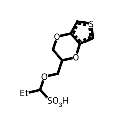 CCC(OCC1COc2cscc2O1)S(=O)(=O)O